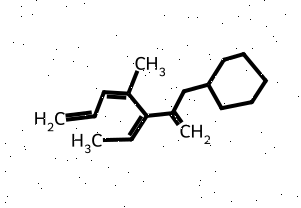 C=C/C=C(C)\C(=C/C)C(=C)CC1CCCCC1